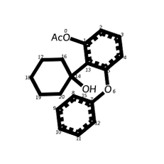 CC(=O)Oc1cccc(Oc2ccccc2)c1C1(O)CCCCC1